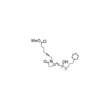 COC(=O)CCCC#CCN1C(=O)CC[C@@H]1/C=C/[C@@H](O)[C@@H](C)CCCc1ccccc1